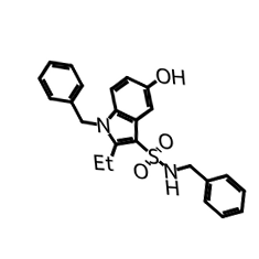 CCc1c(S(=O)(=O)NCc2ccccc2)c2cc(O)ccc2n1Cc1ccccc1